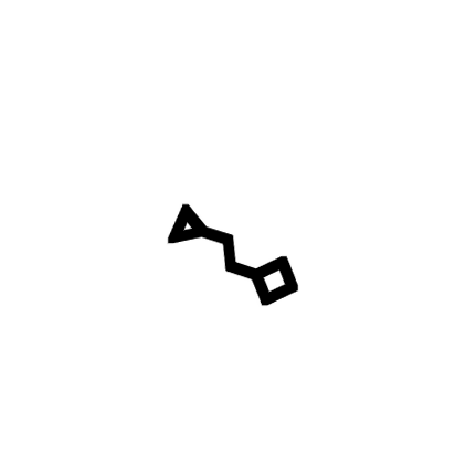 C1CC(CCC2CC2)C1